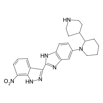 O=[N+]([O-])c1cccc2c(-c3nc4cc(N5CCCCC5C5CCNCC5)ccc4[nH]3)n[nH]c12